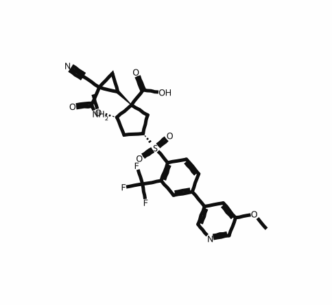 COc1cncc(-c2ccc(S(=O)(=O)[C@@H]3C[C@H](OC)[C@@](C(=O)O)(C4CC4(C#N)C(N)=O)C3)c(C(F)(F)F)c2)c1